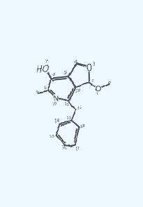 COC1OCc2c(O)c(C)nc(Cc3ccccc3)c21